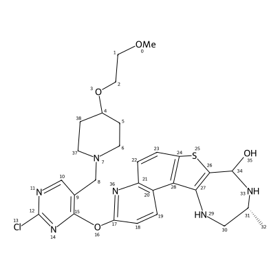 COCCOC1CCN(Cc2cnc(Cl)nc2Oc2ccc3c(ccc4sc5c(c43)NC[C@@H](C)NC5O)n2)CC1